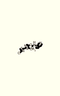 Cc1nc(-c2nc(Cl)cs2)ncc1OC(=O)Nn1ccc2ccncc21